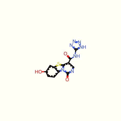 O=C(Nc1nnn[nH]1)c1cnc(=O)n2c1sc1cc(O)ccc12